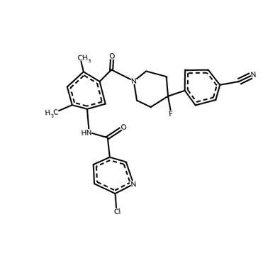 Cc1cc(C)c(C(=O)N2CCC(F)(c3ccc(C#N)cc3)CC2)cc1NC(=O)c1ccc(Cl)nc1